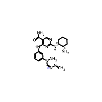 C=N/N=C\N(N)c1cccc(Nc2nc(N[C@@H]3CCCC[C@@H]3N)ncc2C(N)=O)c1